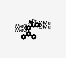 CCCN(C)c1nc2cc(OC)c(OC)cc2cc1-c1cc(OC)c(OC)c(-c2cc(-c3ccccc3)cc(-c3ccccc3)c2)c1